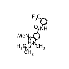 CNNc1cc(C(=O)Nc2cccc(C(F)(F)F)c2)ccc1N(C)CCN(C)C